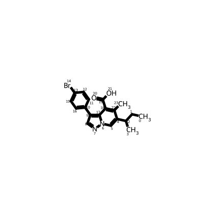 CCC(C)c1cn2ncc(-c3ccc(Br)cc3)c2c(C(=O)O)c1C